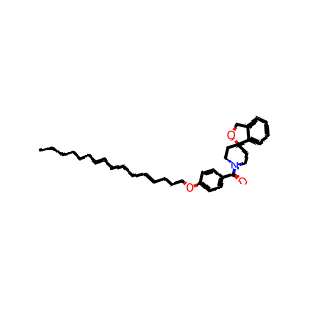 CCCCCCCCCCCCCCCCOc1ccc(C(=O)N2CCC3(CC2)OCc2ccccc23)cc1